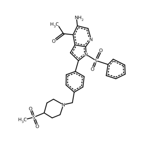 CC(=O)c1c(N)cnc2c1cc(-c1ccc(CN3CCC(S(C)(=O)=O)CC3)cc1)n2S(=O)(=O)c1ccccc1